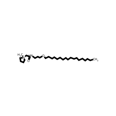 CCCCCCCCCCCCCCCCCCOCCCNC(=O)C[N+]1(C)CCCC1